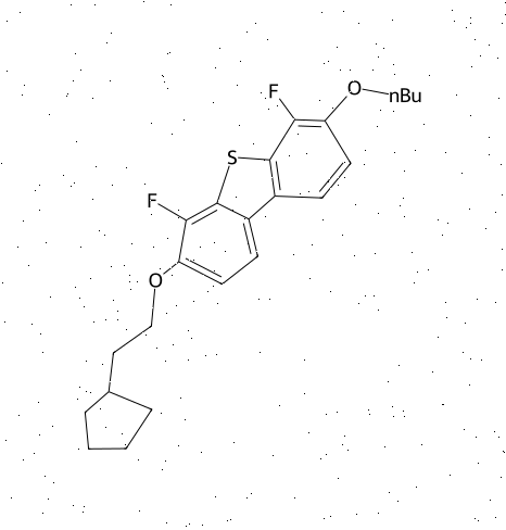 CCCCOc1ccc2c(sc3c(F)c(OCCC4CCCC4)ccc32)c1F